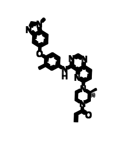 C=CC(=O)N1CCN(c2ccc3ncnc(Nc4ccc(Oc5ccc6c(c5)ncn6C)c(C)c4)c3n2)[C@@H](C)C1